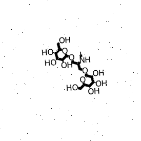 OCC1OC(OCC(COC2OC(CO)[C@@H](O)[C@H](O)[C@@H]2O)NI)[C@@H](O)[C@H](O)[C@@H]1O